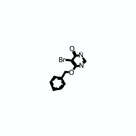 O=C1[N]C=NC(OCc2ccccc2)=C1Br